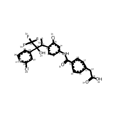 CC(c1ccc(NC(=O)c2ccc(CC(=O)O)cc2)cc1Cl)C(O)(c1ccnc(Cl)c1)C(F)(F)F